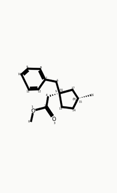 COC(=O)C[C@@]1(Cc2ccccc2)CC[C@@H](C)C1